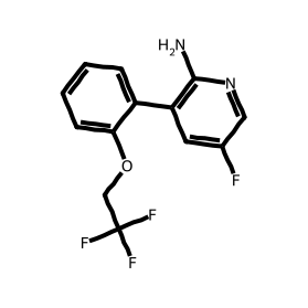 Nc1ncc(F)cc1-c1ccccc1OCC(F)(F)F